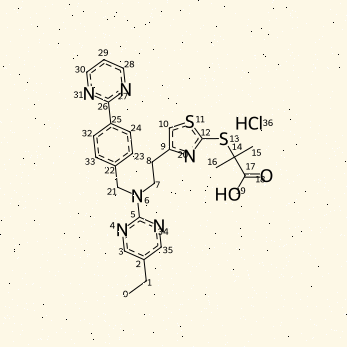 CCc1cnc(N(CCc2csc(SC(C)(C)C(=O)O)n2)Cc2ccc(-c3ncccn3)cc2)nc1.Cl